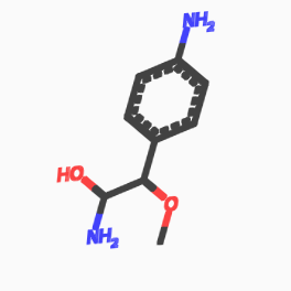 COC(c1ccc(N)cc1)C(N)O